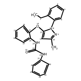 CCc1ccccc1-n1nc(C)cc1Oc1ccccc1NC(=O)Nc1ccccc1